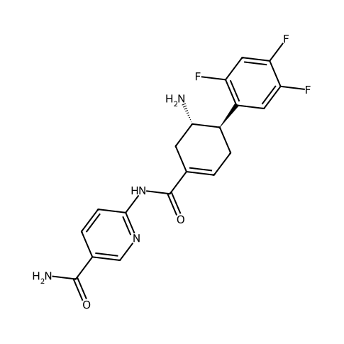 NC(=O)c1ccc(NC(=O)C2=CC[C@H](c3cc(F)c(F)cc3F)[C@@H](N)C2)nc1